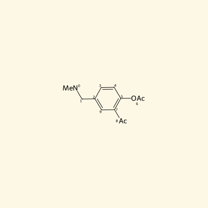 CNCc1ccc(OC(C)=O)c(C(C)=O)c1